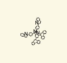 c1ccc2nc(-c3ccc(-c4nc(-c5ccc(-c6ccc7ccccc7n6)cc5)c5cc(-c6cc7ccccc7c7ccccc67)cc(-c6cc7ccccc7c7ccccc67)c5n4)cc3)ccc2c1